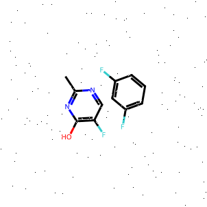 Cc1ncc(F)c(O)n1.Fc1cccc(F)c1